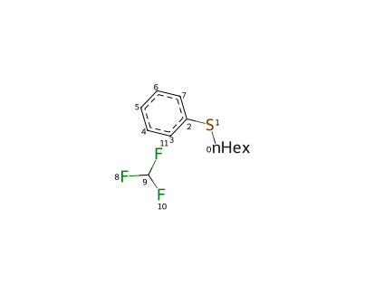 CCCCCCSc1ccccc1.FC(F)F